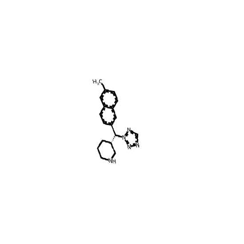 Cc1ccc2cc(C([C@H]3CCCNC3)n3ncnn3)ccc2c1